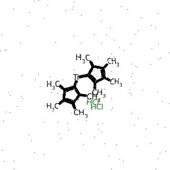 CC1=C(C)C(C)[C]([Ti][C]2=C(C)C(C)=C(C)C2C)=C1C.Cl.Cl